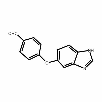 O=Cc1ccc(Oc2ccc3[nH]cnc3c2)cc1